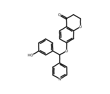 O=C1CCOc2cc(OC(c3ccncc3)c3cccc(O)c3)ccc21